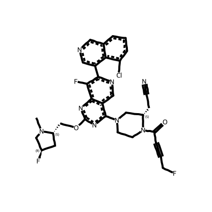 CN1C[C@H](F)C[C@H]1COc1nc(N2CCN(C(=O)C#CCF)[C@@H](CC#N)C2)c2cnc(-c3cncc4cccc(Cl)c34)c(F)c2n1